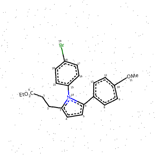 CCOC(=O)CCc1ccc(-c2ccc(OC)cc2)n1-c1ccc(Br)cc1